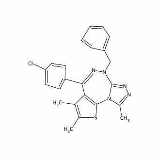 Cc1sc2c(c1C)C(c1ccc(Cl)cc1)=NN(Cc1ccccc1)c1nnc(C)n1-2